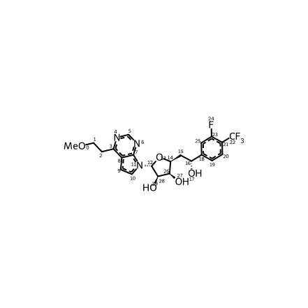 COCCc1ncnc2c1ccn2[C@@H]1O[C@@H](C[C@@H](O)c2ccc(C(F)(F)F)c(F)c2)[C@@H](O)[C@H]1O